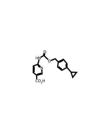 O=C(Nc1ccc(C(=O)O)cn1)OCc1ccc(C2CC2)cc1